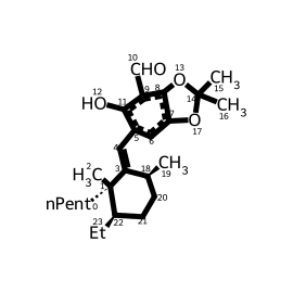 CCCCC[C@]1(C)/C(=C/c2cc3c(c(C=O)c2O)OC(C)(C)O3)[C@@H](C)CC[C@H]1CC